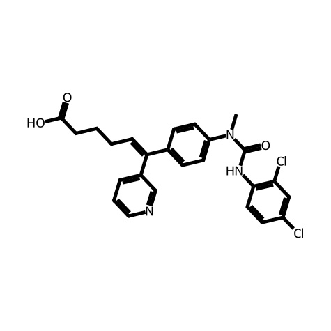 CN(C(=O)Nc1ccc(Cl)cc1Cl)c1ccc(C(=CCCCC(=O)O)c2cccnc2)cc1